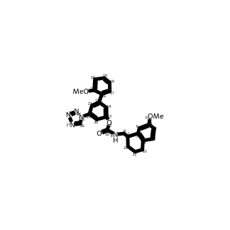 COc1ccc2c(c1)C(CNC(=O)Oc1cc(-c3ccccc3OC)cc(-n3cnnn3)c1)CCC2